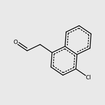 O=CCc1ccc(Cl)c2ccccc12